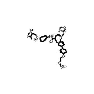 CCCCOCCOc1ccc(-c2ccc3c(c2)C=C(C(=O)Nc2ccc([S+]([O-])Cc4c(C)ncn4CC)cc2)CCN3C[C@H]2COCCN2C)cc1